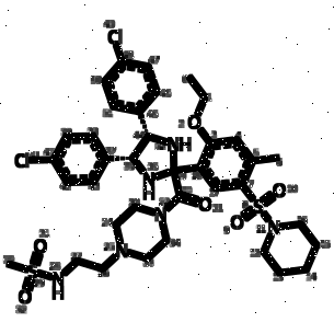 CCOc1cc(C)c(S(=O)(=O)N2CCCCC2)cc1C1(C(=O)N2CCN(CCNS(C)(=O)=O)CC2)N[C@H](c2ccc(Cl)cc2)[C@H](c2ccc(Cl)cc2)N1